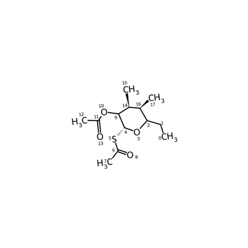 CCC1O[C@H](SC(C)=O)C(OC(C)=O)[C@@H](C)[C@H]1C